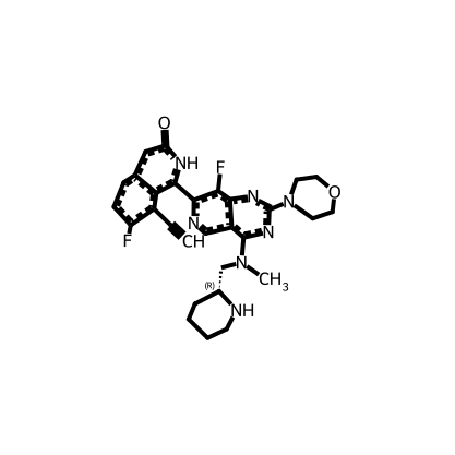 C#Cc1c(F)ccc2cc(=O)[nH]c(-c3ncc4c(N(C)C[C@H]5CCCCN5)nc(N5CCOCC5)nc4c3F)c12